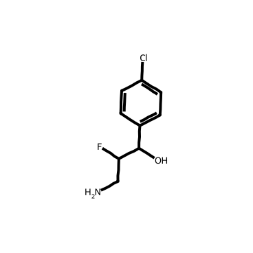 NCC(F)C(O)c1ccc(Cl)cc1